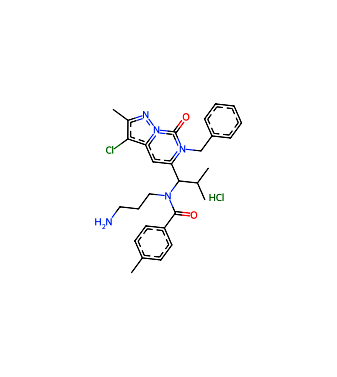 Cc1ccc(C(=O)N(CCCN)C(c2cc3c(Cl)c(C)nn3c(=O)n2Cc2ccccc2)C(C)C)cc1.Cl